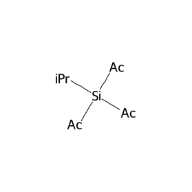 CC(=O)[Si](C(C)=O)(C(C)=O)C(C)C